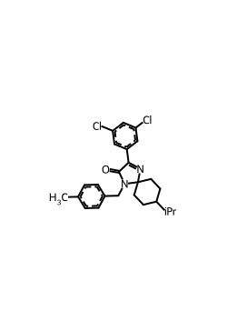 Cc1ccc(CN2C(=O)C(c3cc(Cl)cc(Cl)c3)=NC23CCC(C(C)C)CC3)cc1